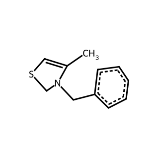 CC1=CSCN1Cc1ccccc1